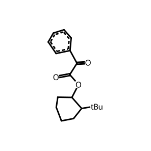 CC(C)(C)C1CCCCC1OC(=O)C(=O)c1ccccc1